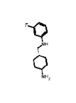 N[C@H]1CC[C@H](CNc2cccc(F)c2)CC1